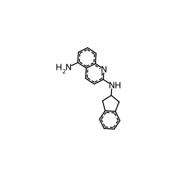 Nc1cccc2nc(NC3Cc4ccccc4C3)ccc12